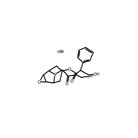 Br.CC(C)CCC(=O)CN1C2CC(OC(=O)C(CO)c3ccccc3)CC1C1OC12